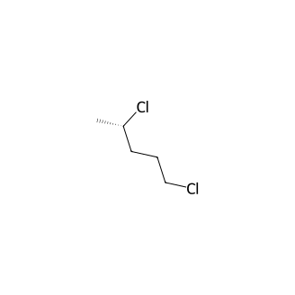 C[C@H](Cl)CCCCl